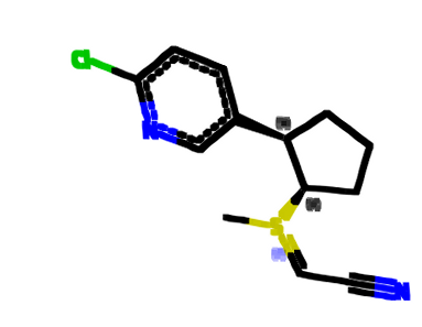 C/S(=C/C#N)[C@@H]1CCC[C@@H]1c1ccc(Cl)nc1